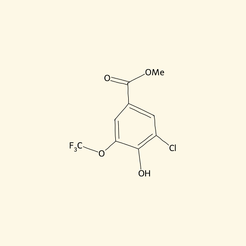 COC(=O)c1cc(Cl)c(O)c(OC(F)(F)F)c1